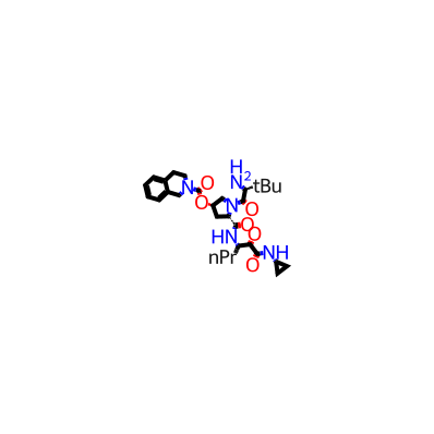 CCCC(NC(=O)[C@@H]1C[C@@H](OC(=O)N2CCc3ccccc3C2)CN1C(=O)[C@@H](N)C(C)(C)C)C(=O)C(=O)NC1CC1